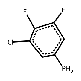 Fc1cc(P)cc(Cl)c1F